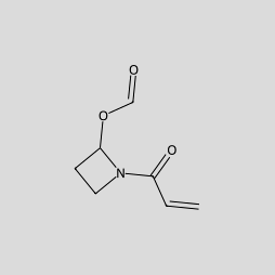 C=CC(=O)N1CCC1OC=O